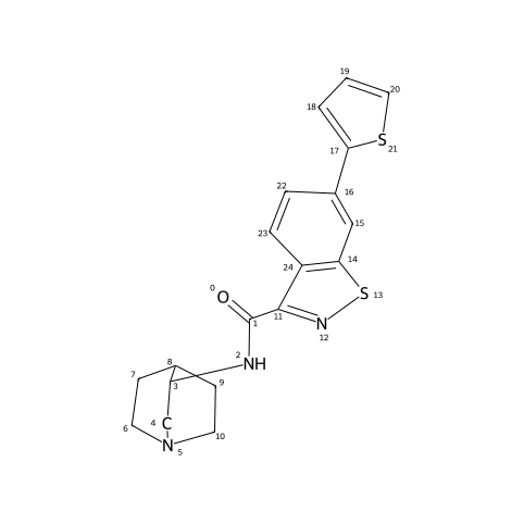 O=C(NC1CN2CCC1CC2)c1nsc2cc(-c3cccs3)ccc12